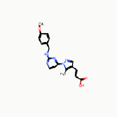 COc1ccc(CNc2nccc(-n3ncc(C=CC(=O)O)c3C)n2)cc1